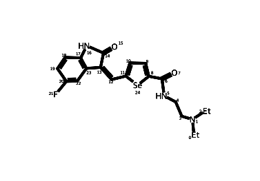 CCN(CC)CCNC(=O)c1ccc(C=C2C(=O)Nc3ccc(F)cc32)[se]1